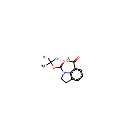 CC(=O)c1cccc2c1N(C(=O)OC(C)(C)C)CC2